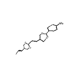 CC=CC1COC(CCC2COC(C3CCC(CCC)CC3)OC2)OC1